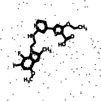 CCOc1cc(-c2ccnc(NCCn3c(C)cc4c(OC)cc(F)c(F)c43)c2)sc1C(=O)O